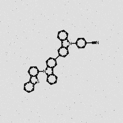 N#Cc1ccc(-n2c3ccccc3c3cc(-c4ccc5c(c4)c4ccccc4n5-c4cccc5c4sc4ccccc45)ccc32)cc1